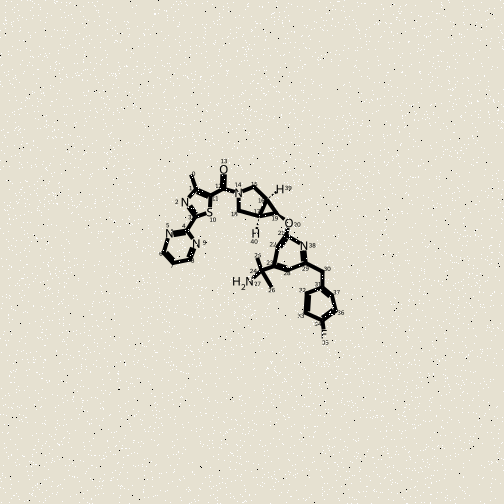 Cc1nc(-c2ncccn2)sc1C(=O)N1C[C@@H]2[C@H](C1)[C@@H]2Oc1cc(C(C)(C)N)cc(Cc2ccc(F)cc2)n1